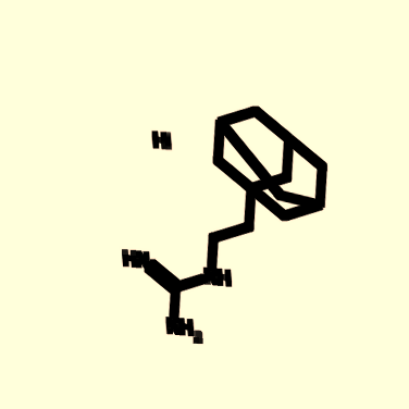 I.N=C(N)NCCC12CC3CC(CC(C3)C1)C2